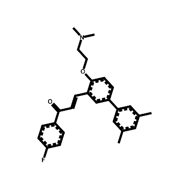 Cc1cc(C)cc(-c2ccc(OCCN(C)C)c(C=CC(=O)c3ccc(F)cc3)c2)c1